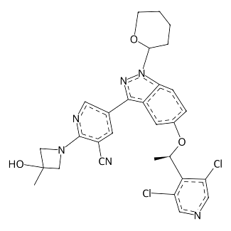 C[C@@H](Oc1ccc2c(c1)c(-c1cnc(N3CC(C)(O)C3)c(C#N)c1)nn2C1CCCCO1)c1c(Cl)cncc1Cl